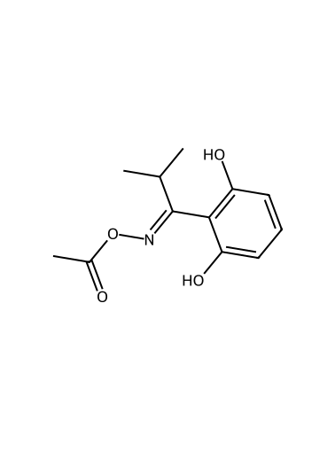 CC(=O)ON=C(c1c(O)cccc1O)C(C)C